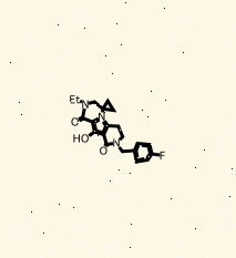 CCN1CC2(CC2)n2c3c(c(O)c2C1=O)C(=O)N(Cc1ccc(F)cc1)CC3